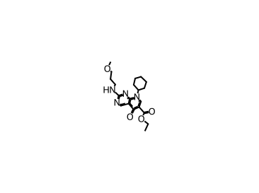 CCOC(=O)c1cn(C2CCCCC2)c2nc(NCCCOC)ncc2c1=O